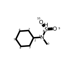 CN(C1CC[CH]CC1)[SH](=O)=O